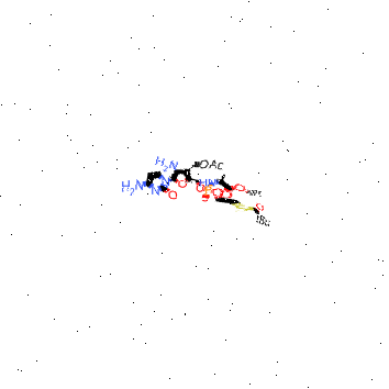 CC(=O)OC[C@H]1[C@@H](N)[C@H](n2ccc(N)nc2=O)O[C@@H]1COP(=O)(N[C@@H](C)C(=O)OC(C)C)OCCSC(=O)C(C)(C)C